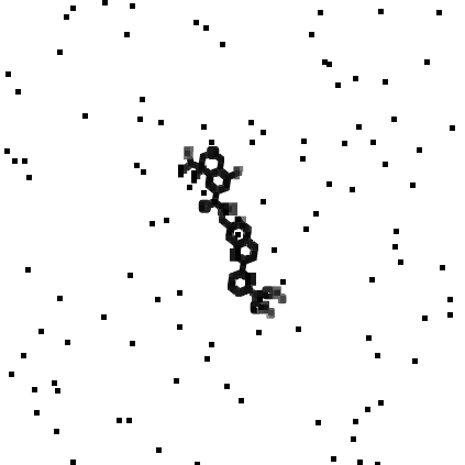 CN(C)c1cccc(-c2ccc3cnc(CNC(=O)c4cc(F)c5c(c4)[C@](F)(C(F)F)COC5)cc3n2)n1